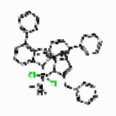 Cc1ccc(-c2ccccc2)c2c1[CH]([Zr]([Cl])([Cl])([CH]1C(C(C)C)=Cc3c(-c4ccccc4)cccc31)[SiH](C)C)C(Cc1ccccc1)=C2